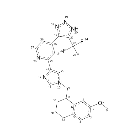 COc1ccc2c(c1)C(Cn1cnc(-c3cc(-c4nn[nH]c4C(F)(F)F)ccn3)c1)CCC2